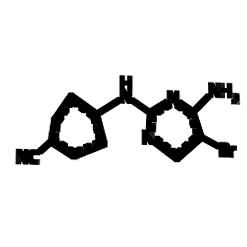 N#Cc1ccc(Nc2ncc(Br)c(N)n2)cc1